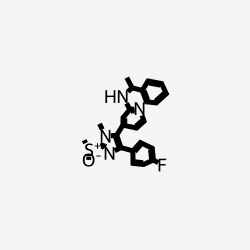 CC(Nc1cc(-c2c(-c3ccc(F)cc3)nc([S+](C)[O-])n2C)ccn1)c1ccccc1